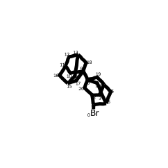 BrC1C2CC3CC1CC(C14CC5CC(CC(C5)C1)C4)(C3)C2